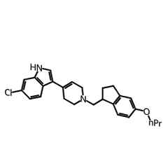 CCCOc1ccc2c(c1)CCC2CN1CC=C(c2c[nH]c3cc(Cl)ccc23)CC1